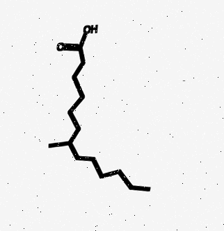 CCCCCCC(C)CCCCCC(=O)O